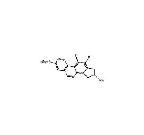 CCCCCc1ccc2c(ccc3c4c(c(F)c(F)c32)CC(CCC)C4)c1